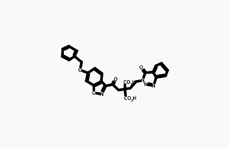 O=C(CC(CCn1nnc2ccccc2c1=O)(C(=O)O)C(=O)O)c1noc2cc(OCc3ccccc3)ccc12